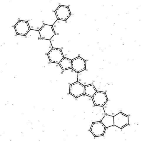 C1=CC2c3ccccc3N(c3ccc4sc5c(-c6cccc7c6oc6ccc(C8N=C(c9ccccc9)N=C(c9ccccc9)N8)cc67)cccc5c4c3)C2C=C1